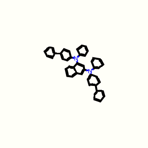 c1ccc(-c2ccc(N(c3ccccc3)c3cc(N(c4ccccc4)c4ccc(-c5ccccc5)cc4)c4ccccc4c3)cc2)cc1